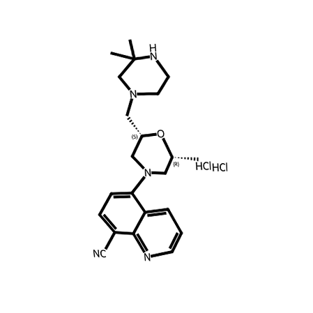 C[C@@H]1CN(c2ccc(C#N)c3ncccc23)C[C@H](CN2CCNC(C)(C)C2)O1.Cl.Cl